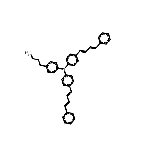 CCCCc1ccc(N(c2ccc(C=CC=Cc3ccccc3)cc2)c2ccc(C=CC=Cc3ccccc3)cc2)cc1